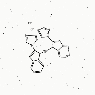 C1=C(n2cncn2)[CH]([Ti+2][CH]2C(n3cncn3)=Cc3ccccc32)c2ccccc21.[Cl-].[Cl-]